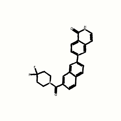 O=C(c1ccc2ccc(-c3ccc4c(=O)[nH]ccc4c3)cc2c1)N1CCC(F)(F)CC1